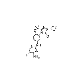 CC1(C)Oc2ccc(Nc3ncc(F)c(N)n3)cc2-n2c1nn(C1COC1)c2=O